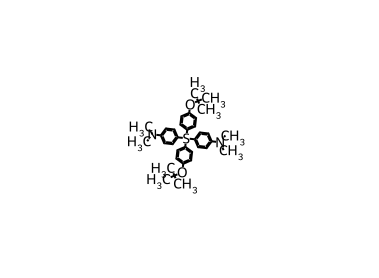 CN(C)c1ccc(S(c2ccc(OC(C)(C)C)cc2)(c2ccc(OC(C)(C)C)cc2)c2ccc(N(C)C)cc2)cc1